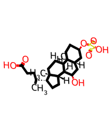 CC(CCC(=O)O)[C@H]1CC[C@H]2[C@@H]3[C@H](O)C[C@@H]4C[C@H](OS(=O)(=O)O)CC[C@]4(C)[C@H]3CC[C@]12C